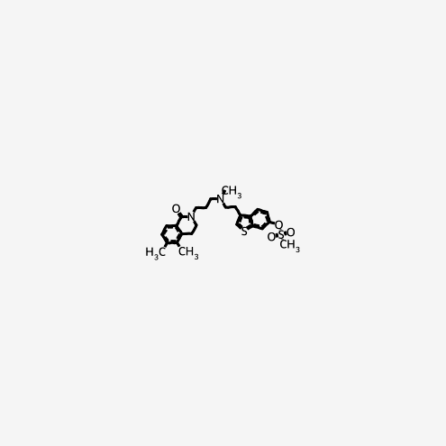 Cc1ccc2c(c1C)CCN(CCCN(C)CCc1csc3cc(OS(C)(=O)=O)ccc13)C2=O